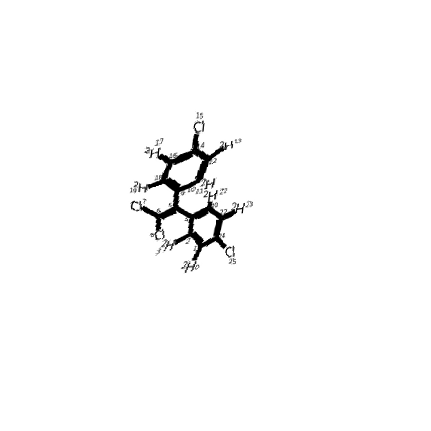 [2H]c1c([2H])c(C(=C(Cl)Cl)c2c([2H])c([2H])c(Cl)c([2H])c2[2H])c([2H])c([2H])c1Cl